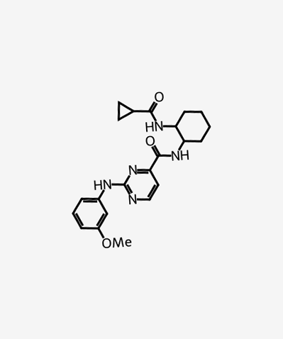 COc1cccc(Nc2nccc(C(=O)NC3CCCCC3NC(=O)C3CC3)n2)c1